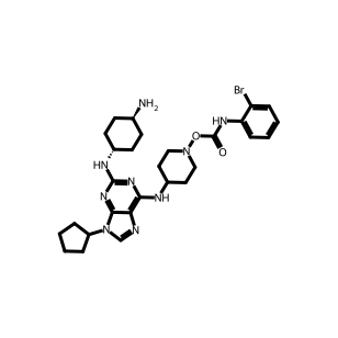 N[C@H]1CC[C@H](Nc2nc(NC3CCN(OC(=O)Nc4ccccc4Br)CC3)c3ncn(C4CCCC4)c3n2)CC1